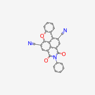 N#Cc1cc2c(=O)n(-c3ccccc3)c(=O)c3cc(C#N)c4c5ccccc5oc1c4c23